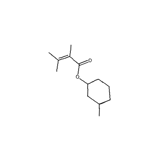 CC(C)=C(C)C(=O)OC1CCCC(C)C1